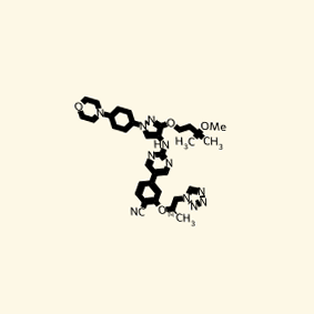 COC(C)(C)CCOc1nn(C2CCC(N3CCOCC3)CC2)cc1Nc1ncc(-c2ccc(C#N)c(O[C@@H](C)Cn3cnnn3)c2)cn1